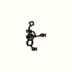 Oc1ccc2c(c1)[C@]13CCN(CC4CCC4)[C@H](C2)[C@]1(O)CC[C@@H](O)C3